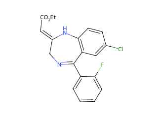 CCOC(=O)/C=C1/CN=C(c2ccccc2F)c2cc(Cl)ccc2N1